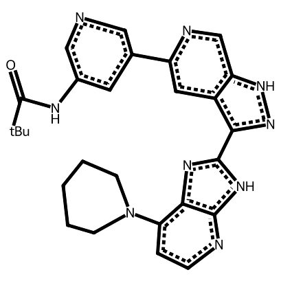 CC(C)(C)C(=O)Nc1cncc(-c2cc3c(-c4nc5c(N6CCCCC6)ccnc5[nH]4)n[nH]c3cn2)c1